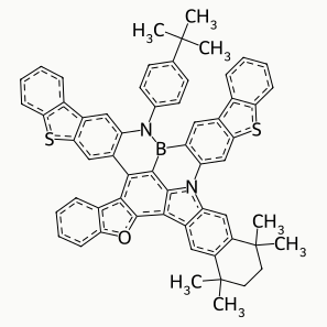 CC(C)(C)c1ccc(N2B3c4cc5c(cc4-n4c6cc7c(cc6c6c8oc9ccccc9c8c(c3c64)-c3cc4sc6ccccc6c4cc32)C(C)(C)CCC7(C)C)sc2ccccc25)cc1